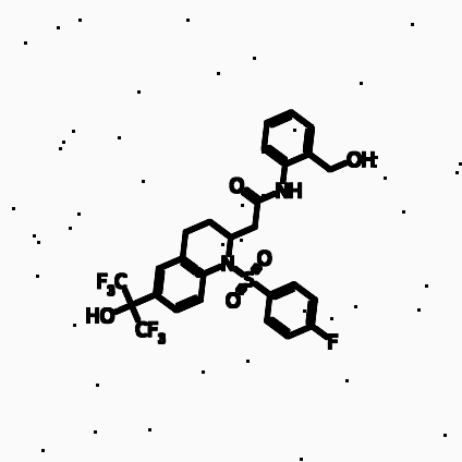 O=C(CC1CCc2cc(C(O)(C(F)(F)F)C(F)(F)F)ccc2N1S(=O)(=O)c1ccc(F)cc1)Nc1ccccc1CO